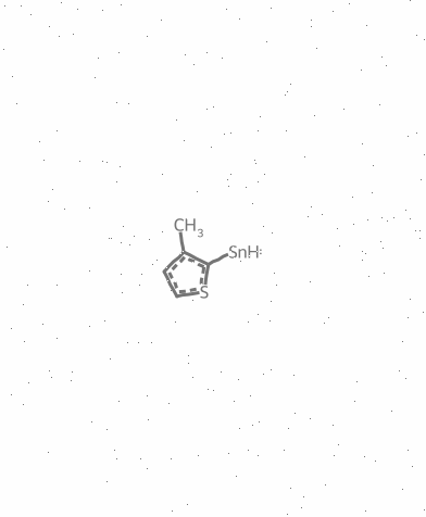 Cc1ccs[c]1[SnH]